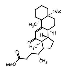 COC(=O)CC[C@@H](C)[C@H]1CC[C@H]2[C@@H]3CC[C@]4(OC(C)=O)CCCC[C@]4(C)C3=CC(=O)[C@]12C